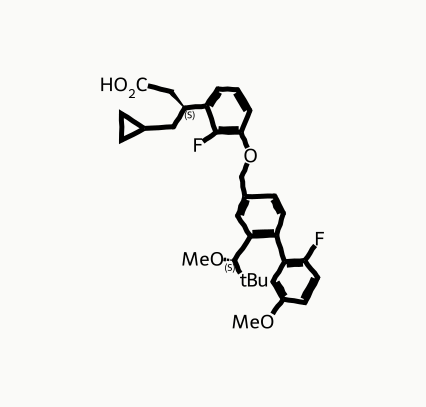 COc1ccc(F)c(-c2ccc(COc3cccc([C@H](CC(=O)O)CC4CC4)c3F)cc2[C@@H](OC)C(C)(C)C)c1